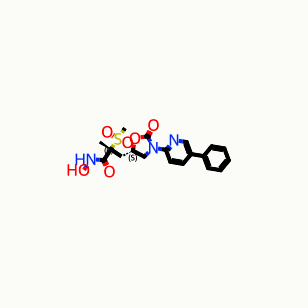 C[C@@](C[C@H]1CN(c2ccc(-c3ccccc3)cn2)C(=O)O1)(C(=O)NO)S(C)(=O)=O